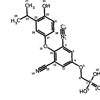 [C-]#[N+]c1cc(OCP(=O)(O)O)cc(C#N)c1Oc1ccc(O)c(C(C)C)c1